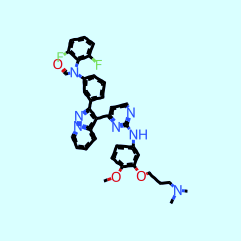 COc1ccc(Nc2nccc(-c3c(-c4cccc(N(C=O)c5c(F)cccc5F)c4)nn4ccccc34)n2)cc1OCCCN(C)C